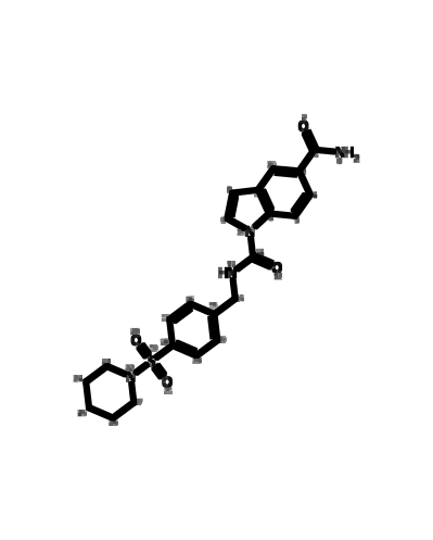 NC(=O)c1ccc2c(ccn2C(=O)NCc2ccc(S(=O)(=O)N3CCCCC3)cc2)c1